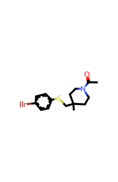 CC(=O)N1CCC(C)(CSc2ccc(Br)cc2)CC1